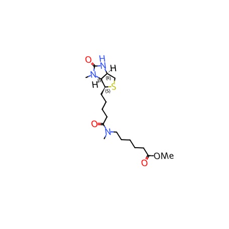 COC(=O)CCCCCN(C)C(=O)CCCC[C@@H]1SC[C@@H]2NC(=O)N(C)[C@@H]21